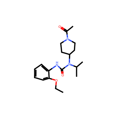 CCOc1ccccc1NC(=O)N(C(C)C)C1CCN(C(C)=O)CC1